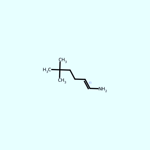 CC(C)(C)CC/C=C/N